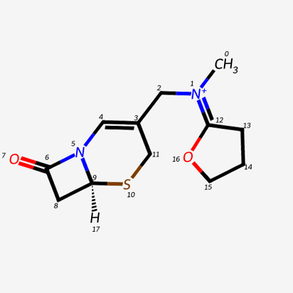 C[N+](CC1=CN2C(=O)C[C@@H]2SC1)=C1CCCO1